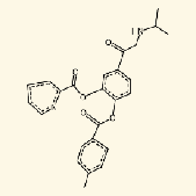 Cc1ccc(C(=O)Oc2ccc(C(=O)CNC(C)C)cc2OC(=O)c2ccccn2)cc1